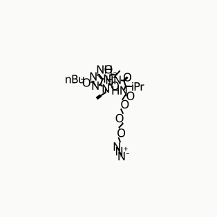 C#CCn1c(=O)n(C(=O)C(C)NC(=O)C(NC(=O)COCCOCCOCCN=[N+]=[N-])C(C)C)c2c(N)nc(OCCCC)nc21